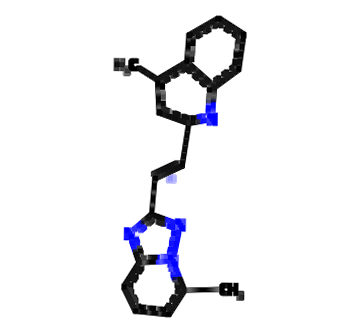 Cc1cc(/C=C/c2nc3cccc(C)n3n2)nc2ccccc12